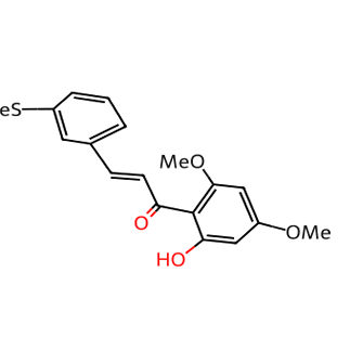 COc1cc(O)c(C(=O)C=Cc2cccc(SC)c2)c(OC)c1